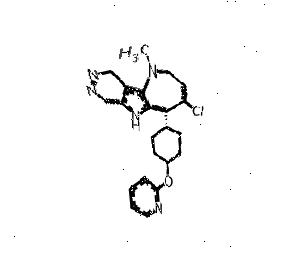 CN1CC=C(Cl)C([C@H]2CC[C@H](Oc3ccccn3)CC2)=c2[nH]c3c(c21)CN=NC=3